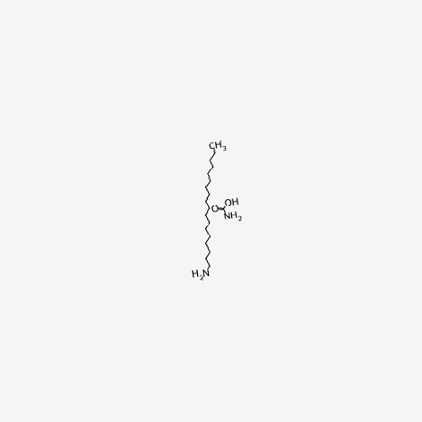 CCCCCCCCCCCCCCCCCCN.NC(=O)O